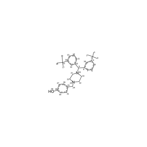 CC(C)(C)c1cccc(C(c2cccc(C(C)(C)C)c2)N2CCN(Cc3ccc(O)cc3)CC2)c1